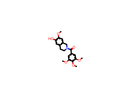 COc1cc2c(cc1O)CCN(C(=O)c1cc(OC)c(OC)c(OC)c1)C2